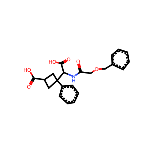 O=C(COCc1ccccc1)NC(C(=O)O)C1(c2ccccc2)CC(C(=O)O)C1